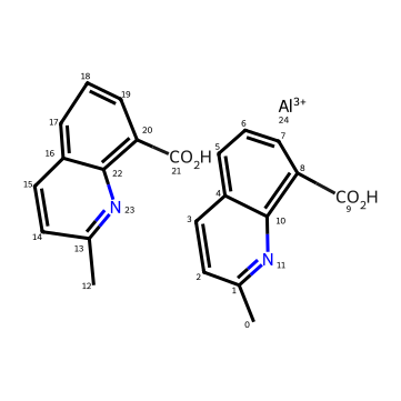 Cc1ccc2cccc(C(=O)O)c2n1.Cc1ccc2cccc(C(=O)O)c2n1.[Al+3]